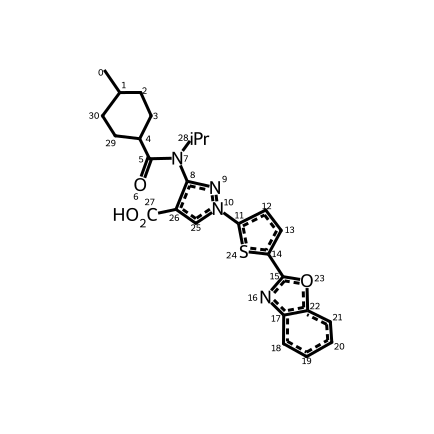 CC1CCC(C(=O)N(c2nn(-c3ccc(-c4nc5ccccc5o4)s3)cc2C(=O)O)C(C)C)CC1